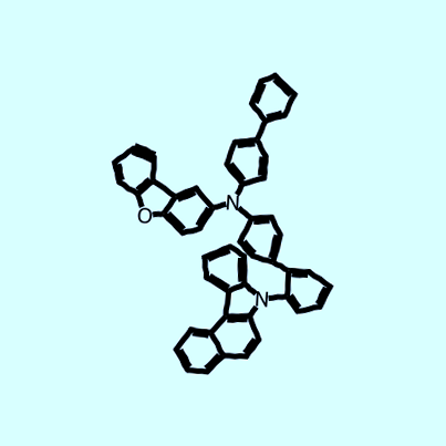 c1ccc2oc3ccc(N(c4ccc(-c5ccccc5)cc4)c4ccc(-c5ccccc5-n5c6ccccc6c6c7ccccc7ccc65)cc4)cc3c2c#1